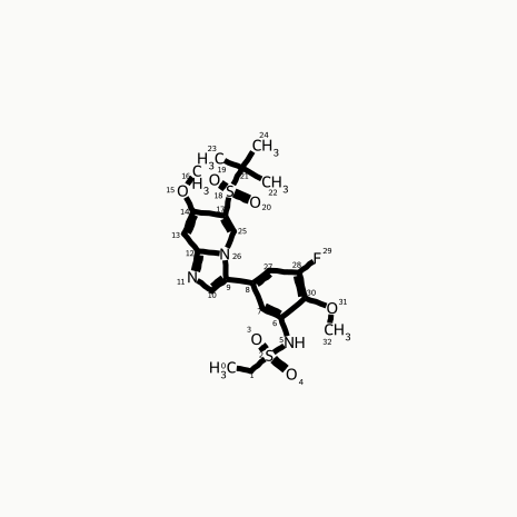 CCS(=O)(=O)Nc1cc(-c2cnc3cc(OC)c(S(=O)(=O)C(C)(C)C)cn23)cc(F)c1OC